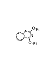 CCOc1cc2ccccc2c(OCC)n1